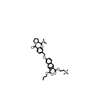 CCCOC(=O)C1C2C(=O)CC(c3ccc(OCc4ccc(C(=O)N5CCCC5C(=O)N(C)C)cc4)cc32)C1C(=O)OCC[Si](C)(C)C